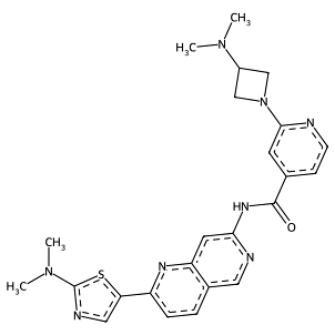 CN(C)c1ncc(-c2ccc3cnc(NC(=O)c4ccnc(N5CC(N(C)C)C5)c4)cc3n2)s1